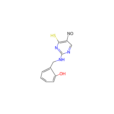 O=Nc1cnc(NCc2ccccc2O)nc1S